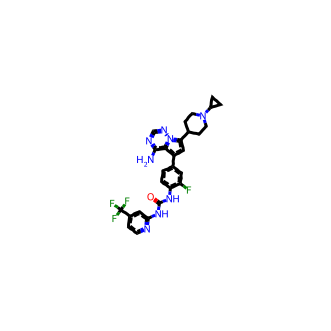 Nc1ncnn2c(C3CCN(C4CC4)CC3)cc(-c3ccc(NC(=O)Nc4cc(C(F)(F)F)ccn4)c(F)c3)c12